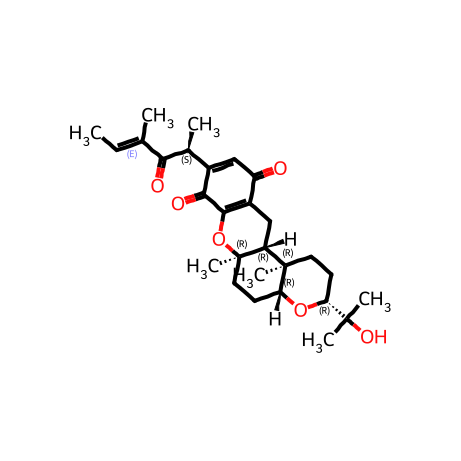 C/C=C(\C)C(=O)[C@@H](C)C1=CC(=O)C2=C(O[C@]3(C)CC[C@H]4O[C@@H](C(C)(C)O)CC[C@]4(C)[C@H]3C2)C1=O